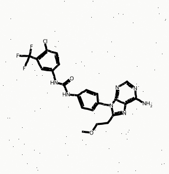 COCCc1nc2c(N)ncnc2n1-c1ccc(NC(=O)Nc2ccc(Cl)c(C(F)(F)F)c2)cc1